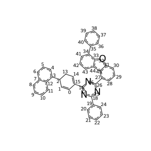 C1=CC(c2cccc3ccccc23)CC=C1c1nc(-c2ccccc2)nc(-c2cccc3oc4c(-c5ccccc5)cccc4c23)n1